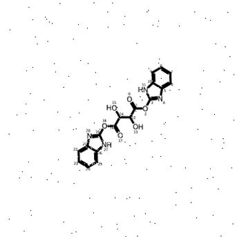 O=C(Oc1nc2ccccc2[nH]1)C(O)C(O)C(=O)Oc1nc2ccccc2[nH]1